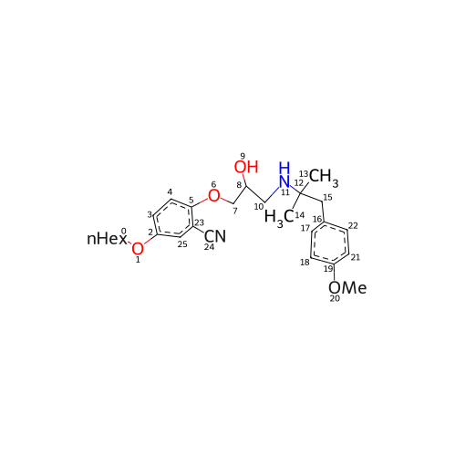 CCCCCCOc1ccc(OCC(O)CNC(C)(C)Cc2ccc(OC)cc2)c(C#N)c1